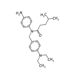 CCN(CC)c1ccc(CN(C(=O)CCC(C)C)c2ccc(N)cc2)cc1